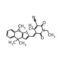 CCN1C(=O)C(C#N)=C(C)/C(=C\c2cc3c(s2)N(C)c2ccccc2C3(C)C)C1=O